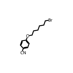 N#Cc1ccc(OCCCCCCBr)cc1